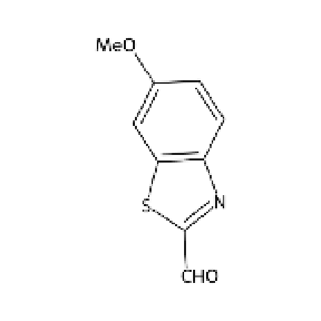 COc1ccc2nc(C=O)sc2c1